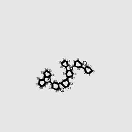 c1ccc2c(c1)oc1ccc(-n3c4ccccc4c4cc(-c5ccc6oc7ccc(-n8c9ccccc9c9ccccc98)cc7c6c5)ccc43)cc12